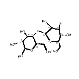 OC[C@H]1O[C@@H](O[C@H]2[C@H](O)[C@@H](O)C(O)O[C@@H]2CO)[C@@H](O)[C@@H](O)[C@@H]1O